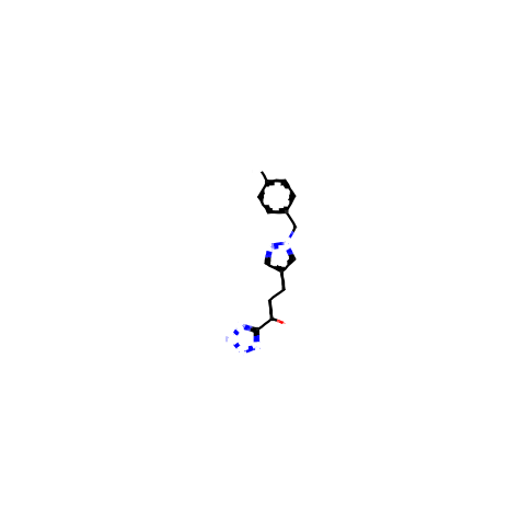 Cc1ccc(Cn2cc(CCC(O)c3nn[nH]n3)cn2)cc1